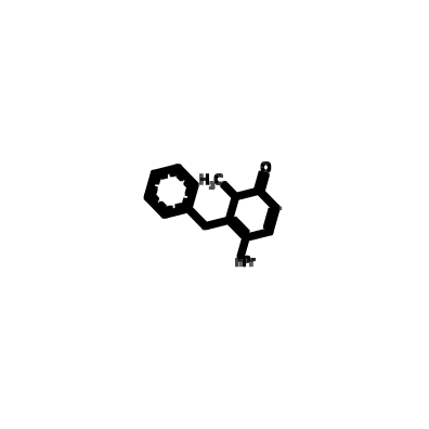 CCCC1=C(Cc2ccccc2)C(C)C(=O)[C]=C1